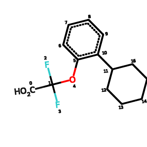 O=C(O)C(F)(F)Oc1ccccc1C1CCCCC1